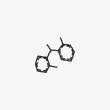 C[C](c1ccccc1C)c1ccccc1C